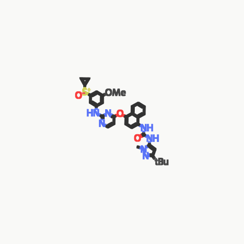 COc1cc(Nc2nccc(Oc3ccc(NC(=O)Nc4cc(C(C)(C)C)nn4C)c4ccccc34)n2)cc([S+]([O-])C2CC2)c1